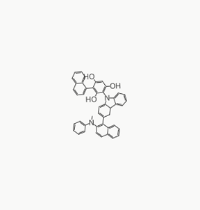 CN(c1ccccc1)c1ccc2ccccc2c1C1=CC=C2C(C1)c1ccccc1N2c1c(O)cc(O)c(-c2cccc3ccccc23)c1O